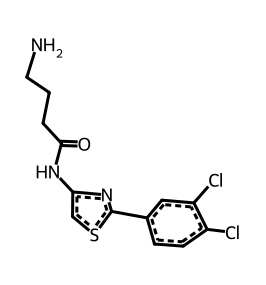 NCCCC(=O)Nc1csc(-c2ccc(Cl)c(Cl)c2)n1